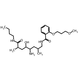 CCCCNC(=O)C(C)CC(O)C(N)CC(C)CNC(=O)c1ccccc1OCCCOC